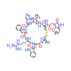 CC(=O)[C@@H]1CSSC[C@H](NC(=O)CN2C(=O)N[C@@H](CC(C)C)C2=O)C(=O)N[C@H](C)C(=O)N[C@@H](Cc2cnc[nH]2)C(=O)N[C@H](Cc2ccccc2)C(=O)N[C@@H](CCCNC(=N)N)C(=O)N[C@@H](Cc2c[nH]c3ccccc23)C(=O)N1